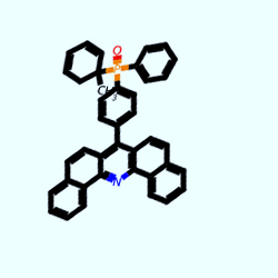 CC1(P(=O)(c2ccccc2)c2ccc(-c3c4ccc5ccccc5c4nc4c3ccc3ccccc34)cc2)C=CC=CC1